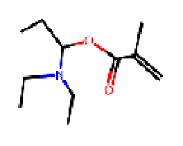 C=C(C)C(=O)OC(CC)N(CC)CC